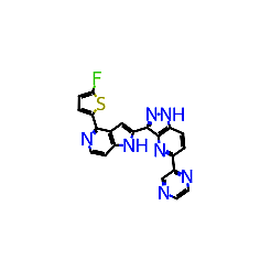 Fc1ccc(-c2nccc3[nH]c(-c4n[nH]c5ccc(-c6cnccn6)nc45)cc23)s1